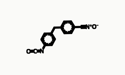 O=C=Nc1ccc(Cc2ccc(C#[N+][O-])cc2)cc1